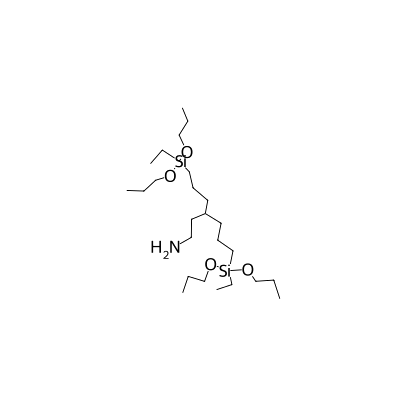 CCCO[Si](CC)(CCCC(CCN)CCC[Si](CC)(OCCC)OCCC)OCCC